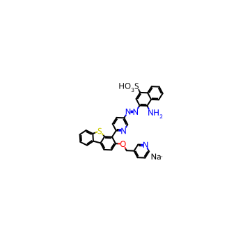 Nc1c(N=Nc2ccc(-c3c(OCc4cccnc4)ccc4c3sc3ccccc34)nc2)cc(S(=O)(=O)O)c2ccccc12.[Na]